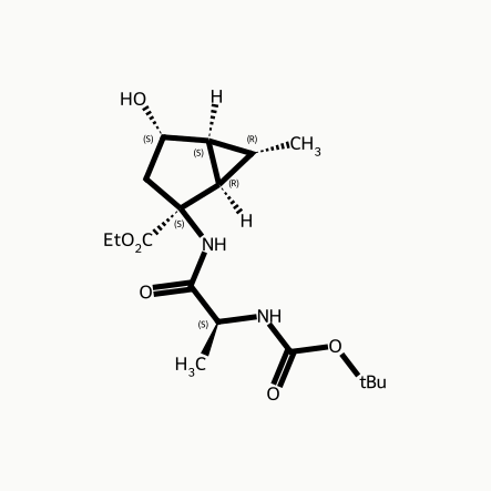 CCOC(=O)[C@]1(NC(=O)[C@H](C)NC(=O)OC(C)(C)C)C[C@H](O)[C@H]2[C@H](C)[C@H]21